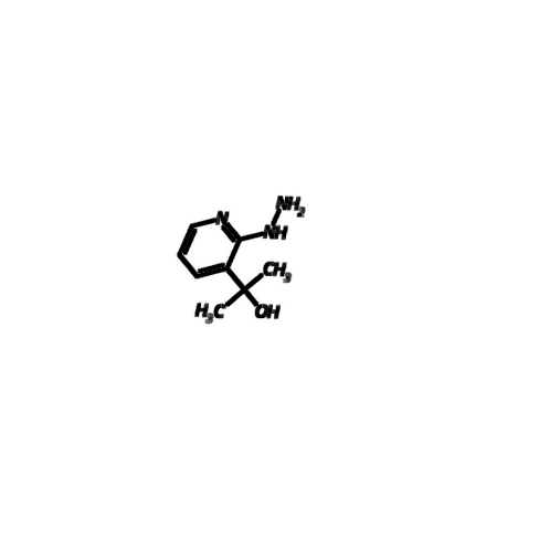 CC(C)(O)c1cccnc1NN